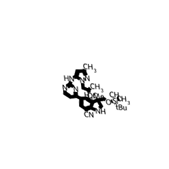 COC(C)Cn1nc(C)cc1Nc1nccc(-c2cc(C#N)c3c(c2)[C@@](C)(CO[Si](C)(C)C(C)(C)C)CN3)n1